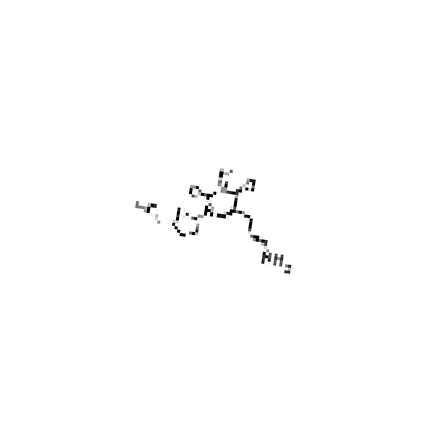 NC=CCc1cn([C@@H]2CC[C@H](CO)O2)c(=O)[nH]c1=O